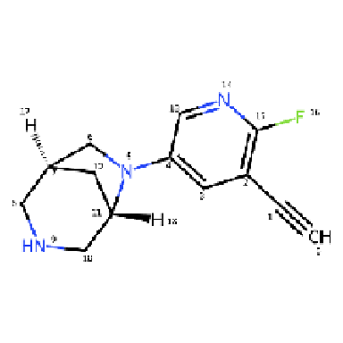 C#Cc1cc(N2C[C@@H]3CNC[C@@H]2C3)cnc1F